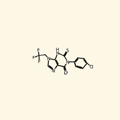 O=c1c2ncn(CC(F)(F)F)c2[nH]c(=S)n1-c1ccc(Cl)cc1